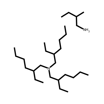 CCC(C)CN.CCCCC(CC)CN(CC(CC)CCCC)CC(CC)CCCC